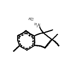 Cc1ccc2c(c1)CC(C)(C)C2(C)N.Cl